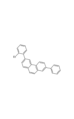 CCc1ccccc1-c1ccc2ccc3cc(-c4ccccc4)ccc3c2c1